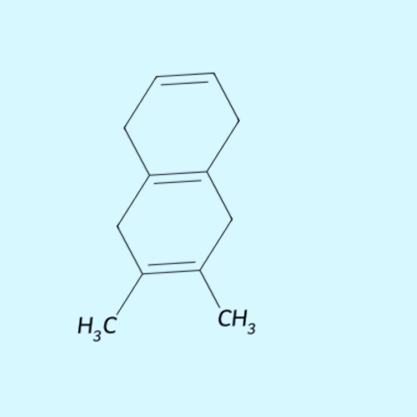 CC1=C(C)CC2=C(CC=CC2)C1